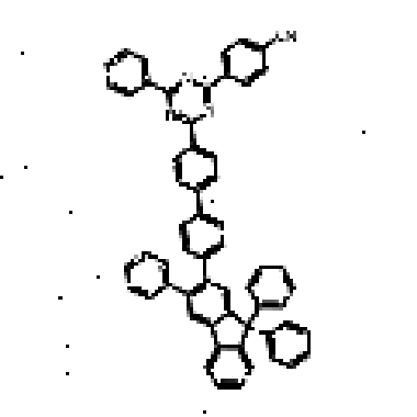 N#Cc1ccc(-c2nc(-c3ccccc3)nc(-c3ccc(-c4ccc(-c5cc6c(cc5-c5ccccc5)-c5ccccc5C6(c5ccccc5)c5ccccc5)cc4)cc3)n2)cc1